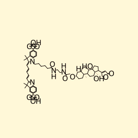 CC1(C)C(/C=C/C=C/C=C2\N(CCCCCC(=O)NCCNC(=O)CO[C@H]3CC[C@]4(C)C5C[C@@H](O)[C@]6(C)C(C7=CC(=O)OC7)CC[C@]6(O)C5CC[C@@H]4C3)c3ccc(S(=O)(=O)O)cc3C2(C)C)=Nc2ccc(S(=O)(=O)O)cc21